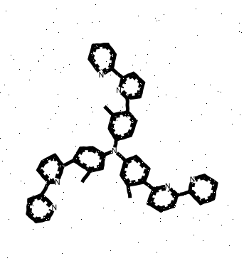 Cc1cc(N(c2ccc(-c3cccc(-c4ccccn4)n3)c(C)c2)c2ccc(-c3cccc(-c4ccccn4)n3)c(C)c2)ccc1-c1cccc(-c2ccccn2)n1